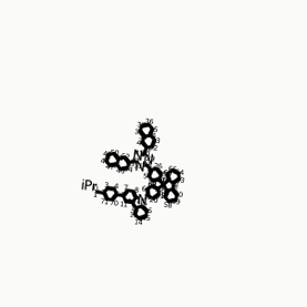 CC(C)Cc1ccc(-c2ccc3c(c2)c2ccccc2n3-c2ccc(C3(c4ccc(-c5nc(-c6ccc7ccccc7c6)nc(-c6ccc7ccccc7c6)n5)cc4)c4ccccc4-c4ccccc43)cc2)cc1